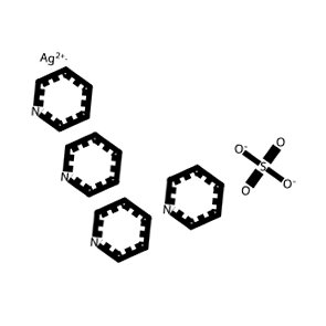 O=S(=O)([O-])[O-].[Ag+2].c1ccncc1.c1ccncc1.c1ccncc1.c1ccncc1